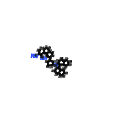 N=C1C=Cc2ccc3ccc(-c4cccc(-n5c6ccc7ccccc7c6c6c7ccccc7ccc65)c4)cc3c2C1=N